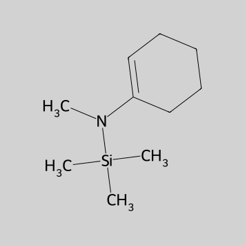 CN(C1=CCCCC1)[Si](C)(C)C